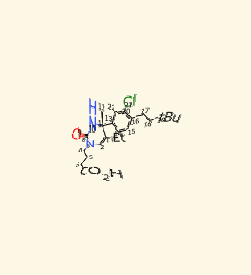 CCC1=CN(CCCC(=O)O)C(=O)N[C@]1(C)c1ccc(CCC(C)(C)C)c(Cl)c1